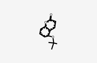 CC(C)(C)Oc1cccc2oc(=O)ccc12